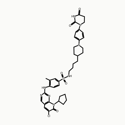 Cc1cc(S(=O)(=O)NCCCCC2CCN(c3ccc(N4CCC(=O)NC4=O)cc3)CC2)ccc1Nc1ncc2cc(Cl)c(=O)n(C3CCCC3)c2n1